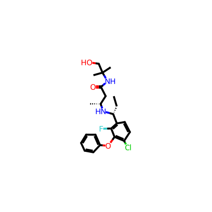 CC[C@@H](N[C@H](C)CC(=O)NC(C)(C)CO)c1ccc(Cl)c(Oc2ccccc2)c1F